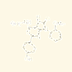 COc1ccccc1-n1c(=O)[nH]c2c(NC=O)nc(-c3ccc(O)cc3)nc21